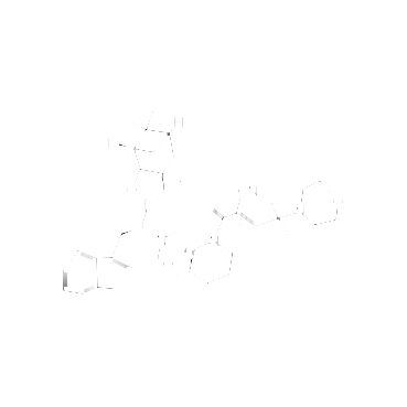 CC1(C)[C@@H]2C[C@H]3OB([C@H](Cc4coc5ccccc45)N(C[C@H]4CCCCN4C(=O)/C(C#N)=C/C(C)(C)N4CCOCC4)C(=O)O)O[C@@]3(C)[C@H]1C2